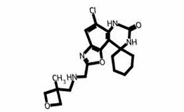 CC1(CNCc2nc3cc(Cl)c4c(c3o2)C2(CCCCC2)NC(=O)N4)COC1